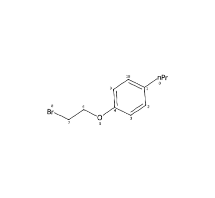 [CH2]CCc1ccc(OCCBr)cc1